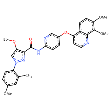 CCOc1cn(-c2ccc(OC)cc2C)nc1C(=O)Nc1ccc(Oc2ccnc3c(OC)c(OC)ccc23)cn1